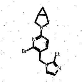 CCc1nccn1Cc1ccc(N2CC3CC3C2)nc1Br